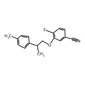 Cc1ccc(C(C)COc2cc(C#N)ccc2F)cc1